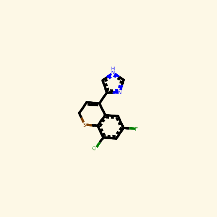 Fc1cc(Cl)c2c(c1)C(c1c[nH]cn1)=CCS2